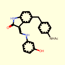 CC(=O)Nc1ccc(Cc2ccc3c(c2)/C(=C\Nc2cccc(O)c2)C(=O)N3)cc1